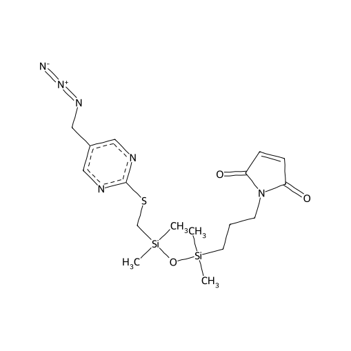 C[Si](C)(CCCN1C(=O)C=CC1=O)O[Si](C)(C)CSc1ncc(CN=[N+]=[N-])cn1